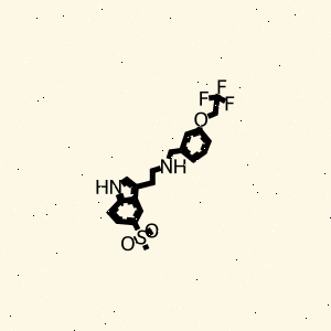 CS(=O)(=O)c1ccc2[nH]cc(CCNCc3cccc(OCC(F)(F)F)c3)c2c1